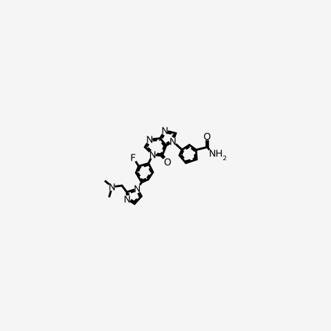 CN(C)Cc1nccn1-c1ccc(-n2cnc3ncn(-c4cccc(C(N)=O)c4)c3c2=O)c(F)c1